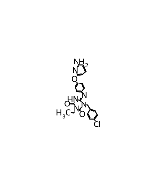 CCn1c(=O)[nH]/c(=N\c2ccc(Oc3cccc(N)n3)cc2)n(Cc2ccc(Cl)cc2)c1=O